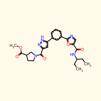 CCC(CC)NC(=O)c1cnc(-c2cccc(-c3cc(C(=O)N4CCC(C(=O)OC)C4)n[nH]3)c2)o1